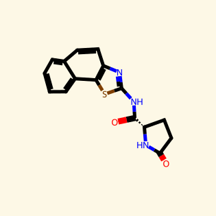 O=C1CC[C@@H](C(=O)Nc2nc3ccc4ccccc4c3s2)N1